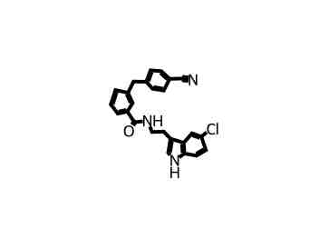 N#Cc1ccc(Cc2cccc(C(=O)NCCc3c[nH]c4ccc(Cl)cc34)c2)cc1